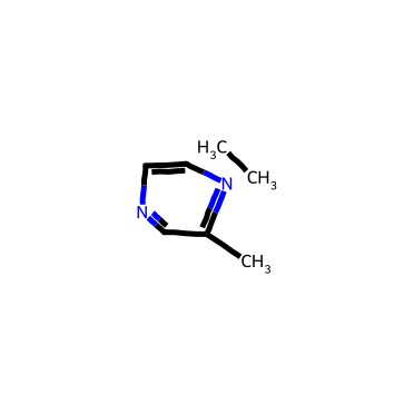 CC.Cc1cnccn1